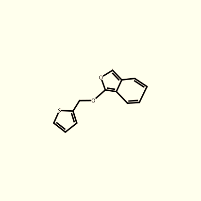 [c]1oc(OCc2cccs2)c2ccccc12